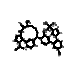 CC1CCCC(n2cnc(-c3cc(Cl)ccc3-n3cc(C(C)(C)O)nn3)cc2=O)c2cc(ccn2)-c2c(cnn2C(F)F)NC1=O